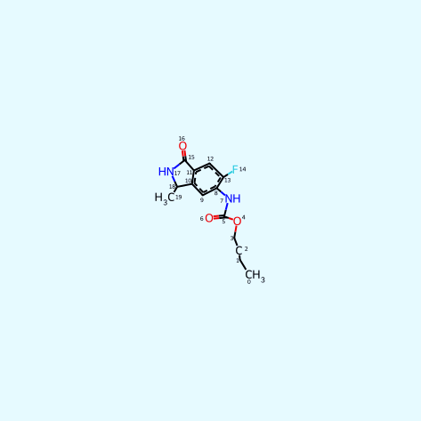 CCCCOC(=O)Nc1cc2c(cc1F)C(=O)NC2C